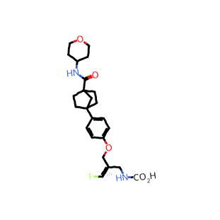 O=C(O)NC/C(=C/F)COc1ccc(C23CCC(C(=O)NC4CCOCC4)(CC2)C3)cc1